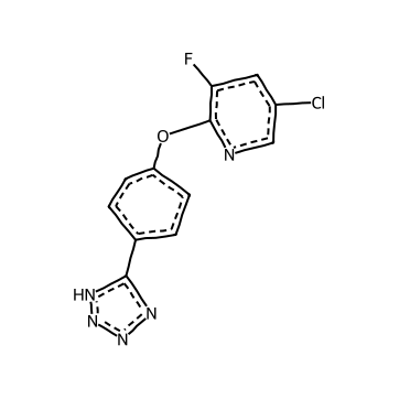 Fc1cc(Cl)cnc1Oc1ccc(-c2nnn[nH]2)cc1